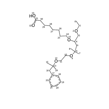 CCOCC(CC(C)(C)OCCOC(C)(C)Cc1ccccc1)OCCCCCCCC(=O)O